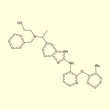 CC(c1ccc2nc(Nc3cccnc3Oc3ccccc3C(C)(C)C)[nH]c2c1)N(CCO)Cc1ccccc1